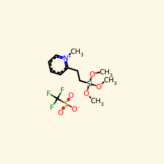 CO[Si](CCc1cccc[n+]1C)(OC)OC.O=S(=O)([O-])C(F)(F)F